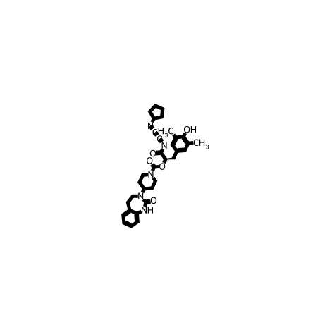 Cc1cc(C[C@@H](OC(=O)N2CCC(N3CCc4ccccc4NC3=O)CC2)C(=O)N=C=C=NC2CCCC2)cc(C)c1O